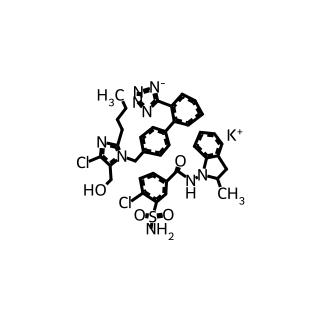 CC1Cc2ccccc2N1NC(=O)c1ccc(Cl)c(S(N)(=O)=O)c1.CCCCc1nc(Cl)c(CO)n1Cc1ccc(-c2ccccc2-c2nnn[n-]2)cc1.[K+]